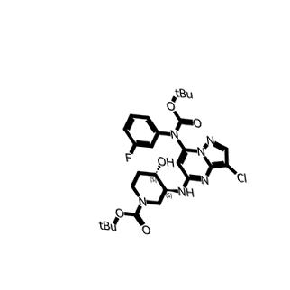 CC(C)(C)OC(=O)N1CC[C@H](O)[C@@H](Nc2cc(N(C(=O)OC(C)(C)C)c3cccc(F)c3)n3ncc(Cl)c3n2)C1